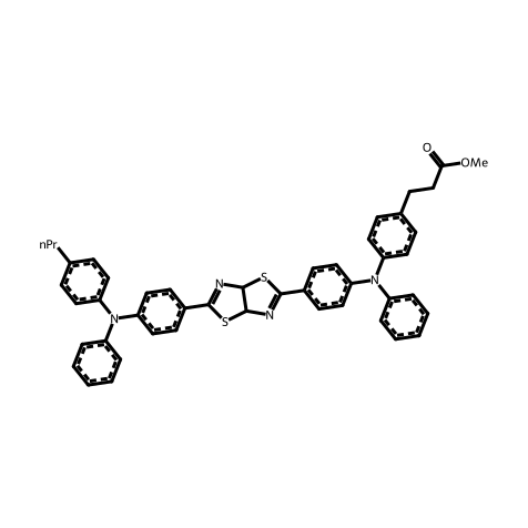 CCCc1ccc(N(c2ccccc2)c2ccc(C3=NC4SC(c5ccc(N(c6ccccc6)c6ccc(CCC(=O)OC)cc6)cc5)=NC4S3)cc2)cc1